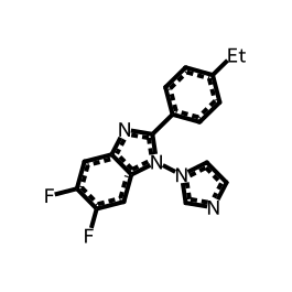 CCc1ccc(-c2nc3cc(F)c(F)cc3n2-n2ccnc2)cc1